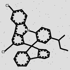 CCC(C)c1ccc2c(c1)C1(c3ccccc3-c3ccccc31)c1cc(Cl)cc3c4cc(Cl)ccc4n-2c13